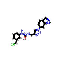 O=C(NCc1cn(-c2ccc3cn[nH]c3c2)nn1)Nc1cccc(CCl)c1